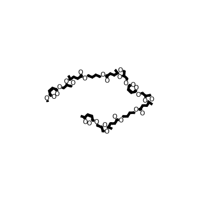 COC(=O)/C=C\C(=O)OCC1COC(C)(CCC(=O)OCCCCOC(=O)CCC2(C)OCC(COC(=O)/C=C\C(=O)OCC3COC(C)(CCC(=O)OCCCCOC(=O)CCC4(C)OCC(COC(=O)/C=C\C(C)=O)O4)O3)O2)O1